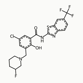 O=C(Nc1nc2ccc(C(F)(F)F)cc2s1)c1cc(Cl)cc(CN2CCCC(F)C2)c1O